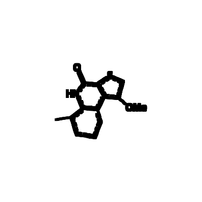 COc1csc2c(=O)[nH]c3c(C)cccc3c12